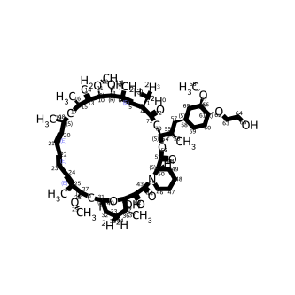 [2H]C([2H])([2H])[C@@H]1/C=C(\C)[C@@H](O)[C@@H](OC)C(=C)[C@H](C)C[C@H](C)/C=C/C=C/C=C(\C)[C@@H](OC)C[C@@H]2CC([2H])([2H])[C@@H](C)[C@@](O)(O2)C(=O)C(=O)N2CCCC[C@H]2C(=O)O[C@H]([C@H](C)C[C@@H]2CC[C@@H](OCCO)[C@H](OC)C2)CC1=O